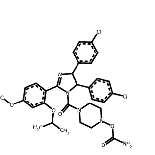 COc1ccc(C2=NC(c3ccc(Cl)cc3)C(c3ccc(Cl)cc3)N2C(=O)N2CCN(OC(N)=O)CC2)c(OC(C)C)c1